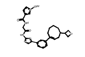 CSn1ccc(C(=O)NCC(=O)Nc2nc(-c3cccc(/C4=C/CC(C5COC5)CCCC4)c3)cs2)c1